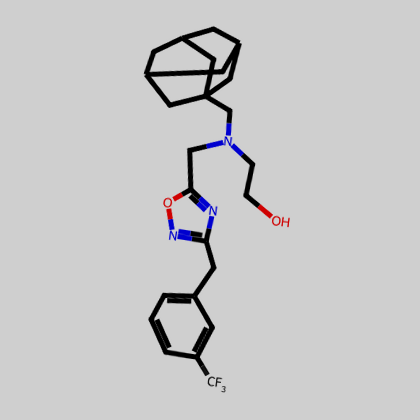 OCCN(Cc1nc(Cc2cccc(C(F)(F)F)c2)no1)CC12CC3CC(CC(C3)C1)C2